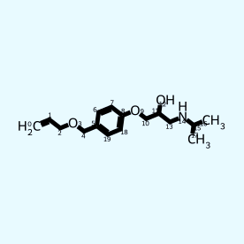 C=CCOCc1ccc(OCC(O)CNC(C)C)cc1